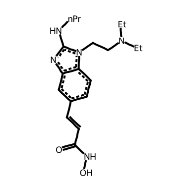 CCCNc1nc2cc(/C=C/C(=O)NO)ccc2n1CCN(CC)CC